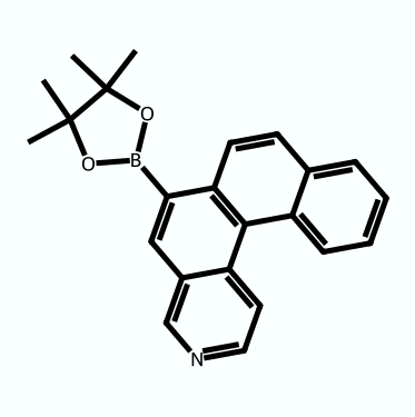 CC1(C)OB(c2cc3cnccc3c3c2ccc2ccccc23)OC1(C)C